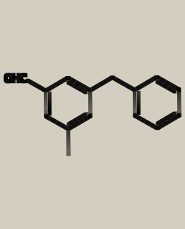 Cc1cc(C=O)cc(Cc2ccccc2)c1